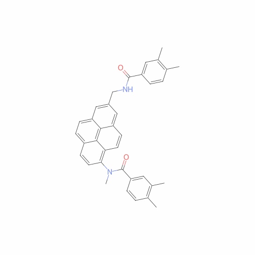 Cc1ccc(C(=O)NCc2cc3ccc4ccc(N(C)C(=O)c5ccc(C)c(C)c5)c5ccc(c2)c3c45)cc1C